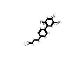 [CH2]C(C)c1cc(-c2ccc(CCC=C)cc2)c(F)cc1F